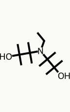 CCN(C(C)(C)C(C)(C)O)C(C)(C)C(C)(C)O